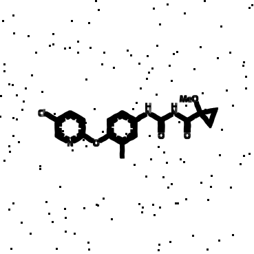 COC1(C(=O)NC(=O)Nc2ccc(Oc3ccc(Cl)cn3)c(C)c2)CC1